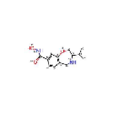 CC(C)C1COc2cc(C(=O)NO)ccc2CN1